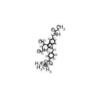 C=CC(=O)NCc1ccc2c(c1)c1c(n2Cc2ccc(C(=O)OC(C)(C)C)cc2)CN(C=O)CC1C=O